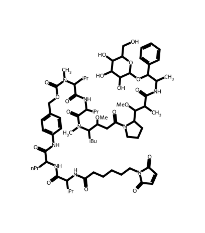 CCCC(NC(=O)C(NC(=O)CCCCCN1C(=O)C=CC1=O)C(C)C)C(=O)Nc1ccc(COC(=O)N(C)C(C(=O)NC(C(=O)N(C)C(C(C)CC)C(CC(=O)N2CCCC2C(OC)C(C)C(=O)NC(C)C(OC2OC(CO)C(O)C(O)C2O)c2ccccc2)OC)C(C)C)C(C)C)cc1